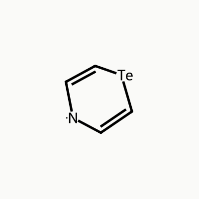 C1=C[Te]C=C[N]1